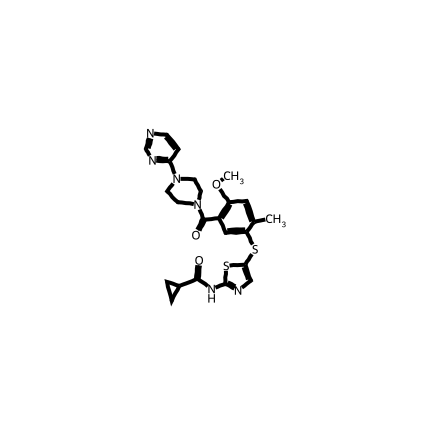 COc1cc(C)c(Sc2cnc(NC(=O)C3CC3)s2)cc1C(=O)N1CCN(c2ccncn2)CC1